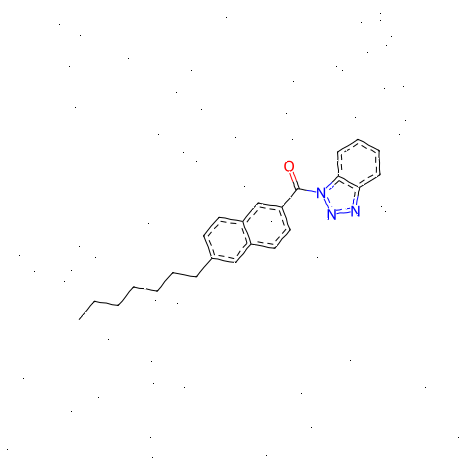 CCCCCCCc1ccc2cc(C(=O)n3nnc4ccccc43)ccc2c1